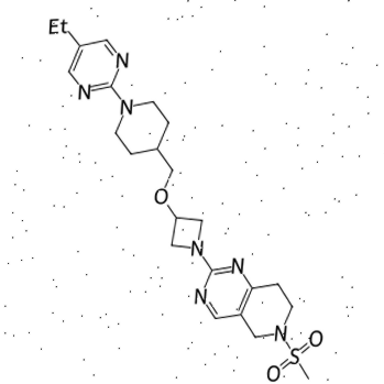 CCc1cnc(N2CCC(COC3CN(c4ncc5c(n4)CCN(S(C)(=O)=O)C5)C3)CC2)nc1